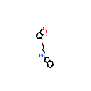 c1ccc2c(c1)CC(NCCCCOc1cccc3c1OCOC3)C2